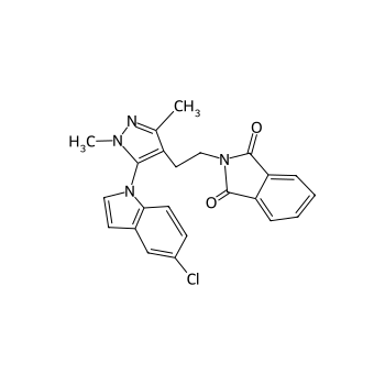 Cc1nn(C)c(-n2ccc3cc(Cl)ccc32)c1CCN1C(=O)c2ccccc2C1=O